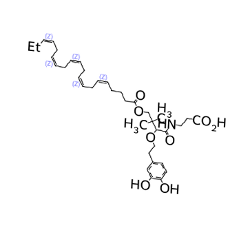 CC/C=C\C/C=C\C/C=C\C/C=C\C/C=C\CCCC(=O)OCC(C)(C)C(OCCc1ccc(O)c(O)c1)C(=O)NCCC(=O)O